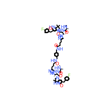 CN[C@@H](C)C(=O)N[C@H](C(=O)N1CC(C)(C)c2[nH]c(=O)c(Cc3ccc(F)cc3)cc21)[C@H](C)n1cc(CCCC(=O)NCc2ccc(CNC(=O)CCCc3cn([C@@H](C)[C@H](NC(=O)[C@H](C)NC)C(=O)N4CC(C)(C)c5[nH]c(=O)c(Cc6ccc(F)cc6)cc54)nn3)cc2)nn1